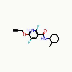 C#CCOC(=C)/C(F)=C\C(C(=O)NC1CCCCC1C)=C(/N)F